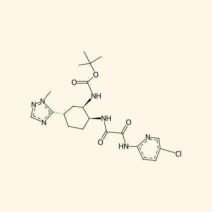 Cn1ncnc1[C@H]1CC[C@H](NC(=O)C(=O)Nc2ccc(Cl)cn2)[C@H](NC(=O)OC(C)(C)C)C1